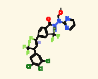 COCN(NC(=O)c1ccc(/C(F)=C/C(c2cc(Cl)c(Cl)c(Cl)c2)C(F)(F)F)cc1C(F)(F)F)c1ncccn1